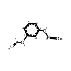 O=POc1cccc(OP=O)c1